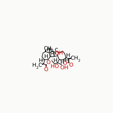 C=C1C(=O)O[C@@H]2[C@@H]3[C@H](C(=C)CC[C@@H]12)[C@@]1(CC[C@@]3(O)CO)[C@@H]2[C@H]3OC(=O)C(=C)[C@@H]3CCC(=C)[C@@H]2C[C@@H]1O